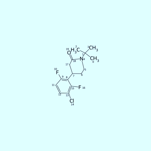 CC(C)(C)N1CCC(c2c(F)ccc(Cl)c2F)CC1=O